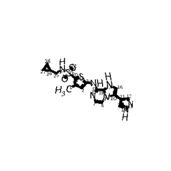 Cc1cc(NC2=NC=CN3C(c4cn[nH]c4)=CNC23)sc1S(=O)(=O)NCC1CC1